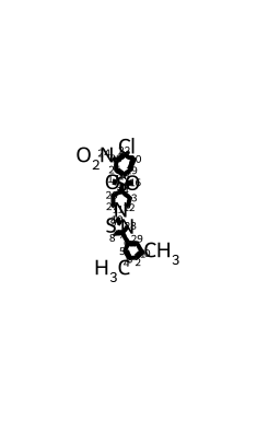 Cc1cc(C)cc(-c2csc(N3CCC(S(=O)(=O)c4ccc(Cl)c([N+](=O)[O-])c4)CC3)n2)c1